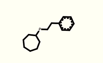 c1ccc(CC[P]C2CCCCCC2)cc1